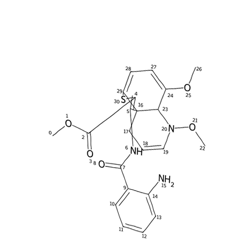 COC(=O)C1=C(NC(=O)c2ccccc2N)C23CC=CN(OC)C2C(OC)=CC=C3S1